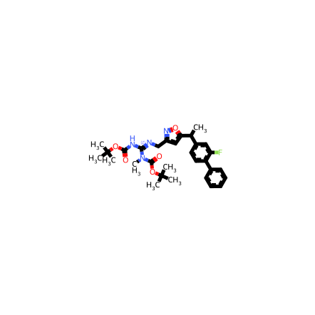 CC(c1ccc(-c2ccccc2)c(F)c1)c1cc(C/N=C(/NC(=O)OC(C)(C)C)N(C)C(=O)OC(C)(C)C)no1